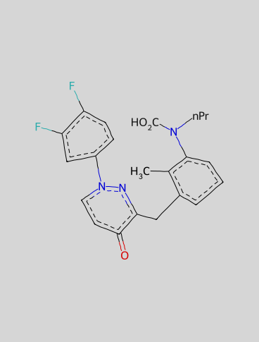 CCCN(C(=O)O)c1cccc(Cc2nn(-c3ccc(F)c(F)c3)ccc2=O)c1C